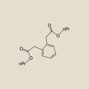 CCCOC(=O)Cc1ccccc1CC(=O)OCCC